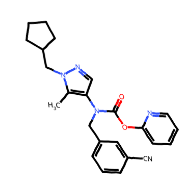 Cc1c(N(Cc2cccc(C#N)c2)C(=O)Oc2ccccn2)cnn1CC1CCCC1